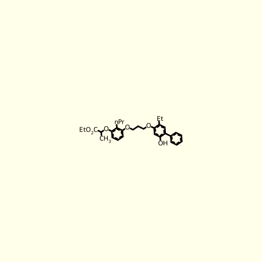 CCCc1c(OCCCOc2cc(O)c(-c3ccccc3)cc2CC)cccc1OC(C)C(=O)OCC